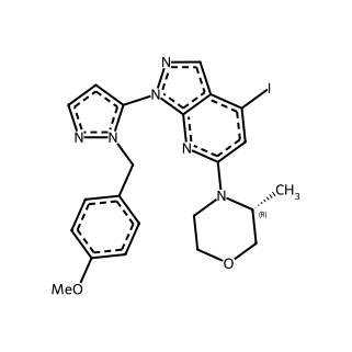 COc1ccc(Cn2nccc2-n2ncc3c(I)cc(N4CCOC[C@H]4C)nc32)cc1